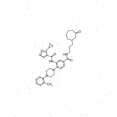 Cc1ccccc1N1CCN(c2ccc(C(=O)NCCCC3CCCCC(=O)C3)cc2NC(=O)c2cnoc2C2CC2)CC1